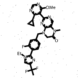 CCn1cc(C(C)(F)F)nc1-c1ccc(CN2CC(=O)N(C)c3cnc(-c4c(OC)ncnc4C4CC4)nc32)cc1F